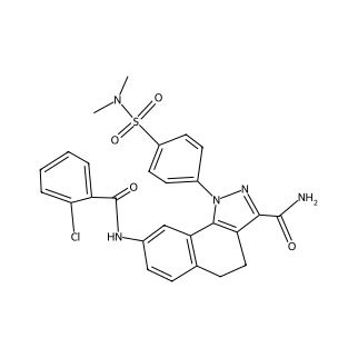 CN(C)S(=O)(=O)c1ccc(-n2nc(C(N)=O)c3c2-c2cc(NC(=O)c4ccccc4Cl)ccc2CC3)cc1